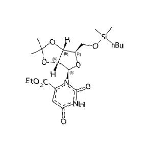 CCCC[Si](C)(C)OC[C@H]1O[C@@H](n2c(C(=O)OCC)cc(=O)[nH]c2=O)[C@@H]2OC(C)(C)O[C@@H]21